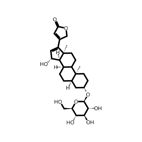 C[C@]12CCC3[C@@H](CC[C@@H]4C[C@@H](O[C@@H]5O[C@H](CO)[C@@H](O)[C@H](O)[C@H]5O)CC[C@]34C)[C@H]1[C@H](O)C=C2C1=CC(=O)OC1